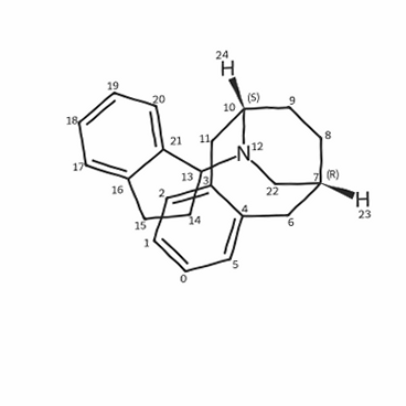 c1ccc2c(c1)C[C@H]1CC[C@@H](C2)N(C2CCc3ccccc32)C1